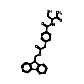 CC(=O)C(CS)NC(=O)c1ccc(CC(=O)OCC2c3ccccc3-c3ccccc32)cc1